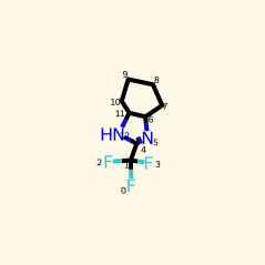 FC(F)(F)C1=NC2CCCCC2N1